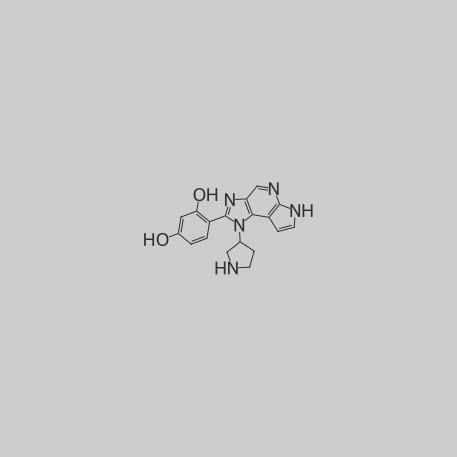 Oc1ccc(-c2nc3cnc4[nH]ccc4c3n2C2CCNC2)c(O)c1